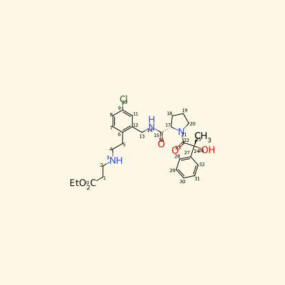 CCOC(=O)CCNCCc1ccc(Cl)cc1CNC(=O)[C@@H]1CCCN1C(=O)[C@](C)(O)c1ccccc1